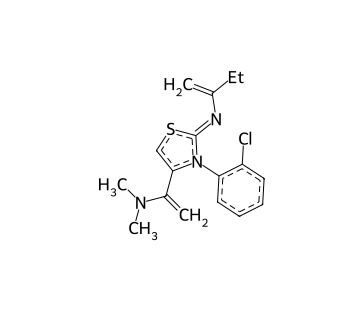 C=C(CC)/N=c1\scc(C(=C)N(C)C)n1-c1ccccc1Cl